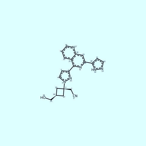 N#CC[C@]1(n2ccc(-c3nc(-c4ccn[nH]4)cc4ncccc34)n2)C[C@H](CO)C1